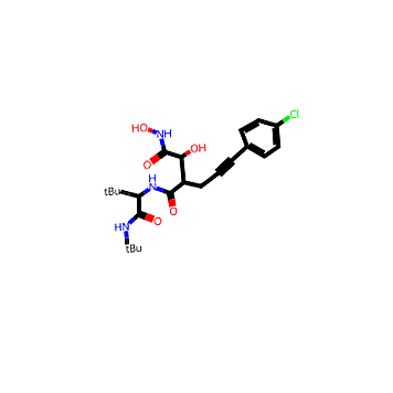 CC(C)(C)NC(=O)C(NC(=O)C(CC#Cc1ccc(Cl)cc1)C(O)C(=O)NO)C(C)(C)C